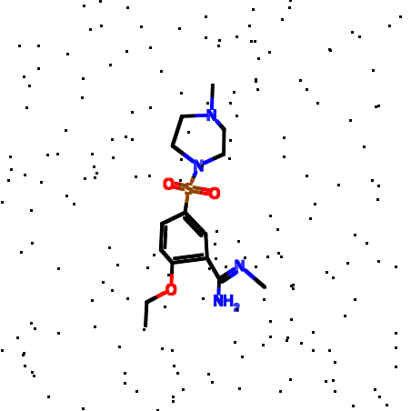 CCOc1ccc(S(=O)(=O)N2CCN(C)CC2)cc1/C(N)=N/C